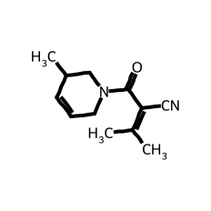 CC(C)=C(C#N)C(=O)N1CC=CC(C)C1